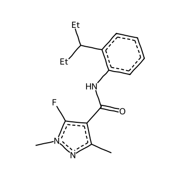 CCC(CC)c1ccccc1NC(=O)c1c(C)nn(C)c1F